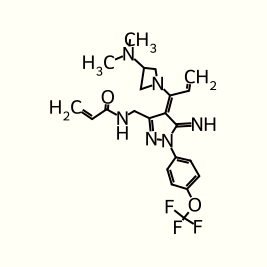 C=CC(=O)NCC1=NN(c2ccc(OC(F)(F)F)cc2)C(=N)/C1=C(\C=C)N1CC(N(C)C)C1